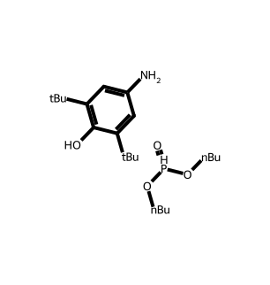 CC(C)(C)c1cc(N)cc(C(C)(C)C)c1O.CCCCO[PH](=O)OCCCC